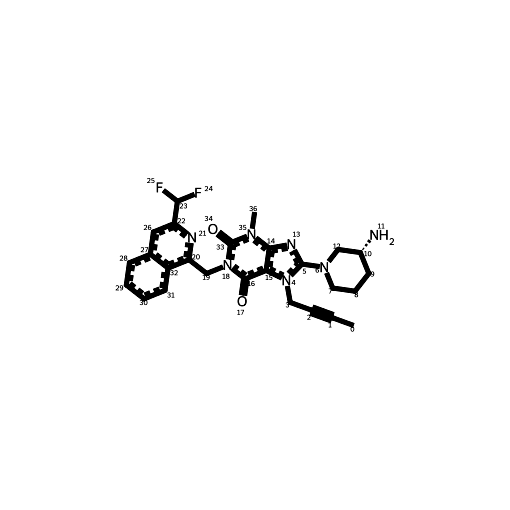 CC#CCn1c(N2CCC[C@@H](N)C2)nc2c1c(=O)n(Cc1nc(C(F)F)cc3ccccc13)c(=O)n2C